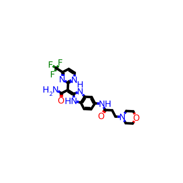 NC(=O)/C(=C1\Nc2ccc(NC(=O)CCN3CCOCC3)cc2N1)c1nccc(C(F)(F)F)n1